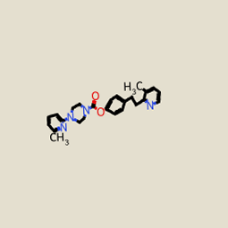 Cc1cccc(N2CCN(C(=O)Oc3ccc(CCc4ncccc4C)cc3)CC2)n1